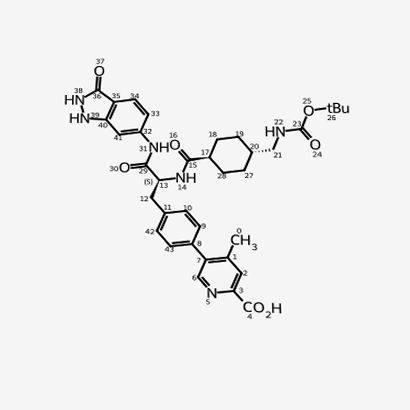 Cc1cc(C(=O)O)ncc1-c1ccc(C[C@H](NC(=O)[C@H]2CC[C@H](CNC(=O)OC(C)(C)C)CC2)C(=O)Nc2ccc3c(=O)[nH][nH]c3c2)cc1